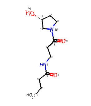 O=C(O)CCC(=O)NCCC(=O)N1CC[C@@H](O)C1